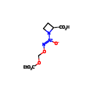 CCOC(=O)OCON=[N+]([O-])N1CCC1C(=O)O